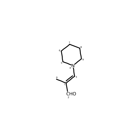 CC(C=O)=CN1CCCCC1